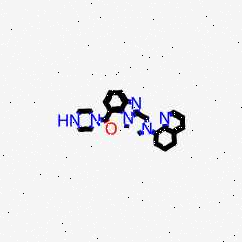 CN(Cc1nc2cccc(C(=O)N3CCNCC3)c2n1C)C1CCCc2cccnc21